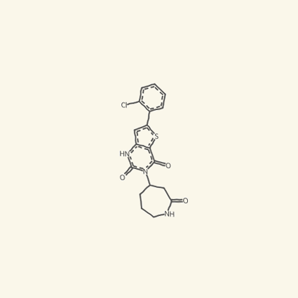 O=C1CC(n2c(=O)[nH]c3cc(-c4ccccc4Cl)sc3c2=O)CCCN1